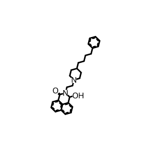 O=C1c2cccc3cccc(c23)C(O)N1CCN1CCC(CCCCc2ccccc2)CC1